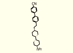 CCC[C@H]1CC[C@H]([C@H]2CC[C@H](CCc3ccc(-c4ccc(C#N)cc4)cc3)CC2)CC1